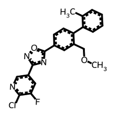 COCc1cc(-c2nc(-c3cnc(Cl)c(F)c3)no2)ccc1-c1ccccc1C